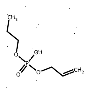 C=CCOP(=O)(O)OCCC